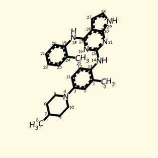 Cc1cc(N2CCC(C)CC2)ccc1Nc1nc(Nc2ccccc2C)c2cc[nH]c2n1